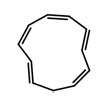 [CH]1\C=C/C=C/C=C\C=C/C=C/1